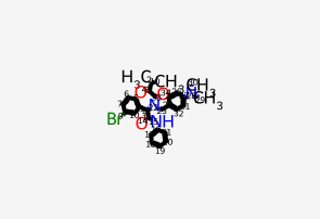 CC(C)C1Oc2ccc(Br)cc2C(C(=O)Nc2ccccc2)N(Cc2ccc(N(C)C)cc2)C1=O